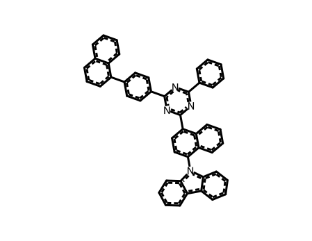 c1ccc(-c2nc(-c3ccc(-c4cccc5ccccc45)cc3)nc(-c3ccc(-n4c5ccccc5c5ccccc54)c4ccccc34)n2)cc1